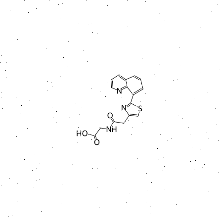 O=C(O)CNC(=O)Cc1csc(-c2cccc3cccnc23)n1